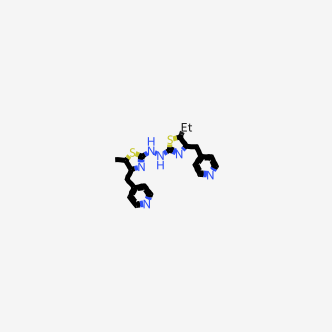 CCC1SC(NNC2=NC(Cc3ccncc3)C(C)S2)=NC1Cc1ccncc1